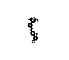 COC(=O)CC(c1cccc(CCC2CCC(c3cc(OC)ccc3F)CC2)c1)C1CC1